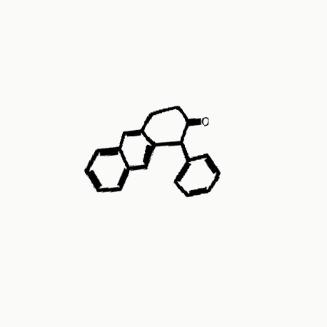 O=C1CCc2cc3ccccc3cc2C1c1ccccc1